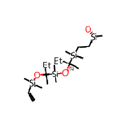 C=C[Si](C)(C)OC(C)(CC)[Si](C)(C)O[C@](C)(CC)[Si](C)(C)CC[Si](C)=O